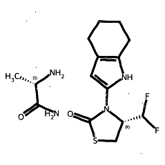 C[C@H](N)C(N)=O.O=C1SC[C@@H](C(F)F)N1c1cc2c([nH]1)CCCC2